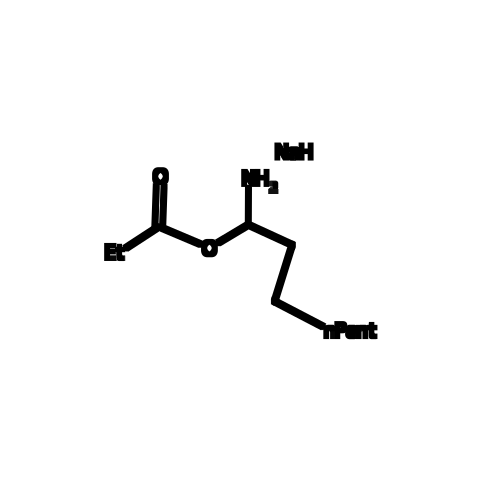 CCCCCCCC(N)OC(=O)CC.[NaH]